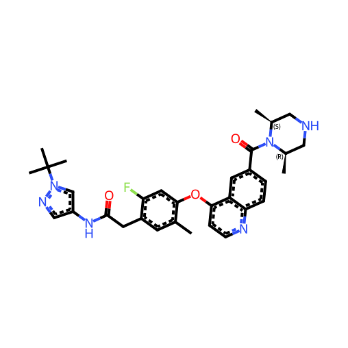 Cc1cc(CC(=O)Nc2cnn(C(C)(C)C)c2)c(F)cc1Oc1ccnc2ccc(C(=O)N3[C@H](C)CNC[C@@H]3C)cc12